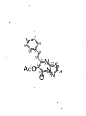 CC(=O)Oc1c(/C=C/c2ccccc2)nc2scnn2c1=O